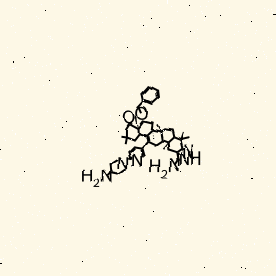 CC1(C)CC[C@]2(C(=O)OCc3ccccc3)CC[C@]3(C)C(=C(c4ccc(N5CCC(N)CC5)nc4)CC4[C@@]5(C)Cc6c(n[nH]c6N)C(C)(C)C5CC[C@]43C)C2C1